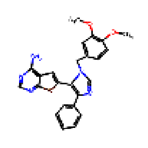 COc1ccc(Cn2cnc(-c3ccccc3)c2-c2cc3c(N)ncnc3s2)cc1OC